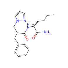 CCCC[C@H](NC(=O)C(Cc1ccccc1)Cn1cccn1)C(N)=O